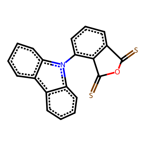 S=C1OC(=S)c2c1cccc2-n1c2ccccc2c2ccccc21